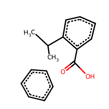 CC(C)c1ccccc1C(=O)O.c1ccccc1